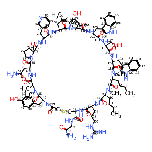 CCCC[C@H]1C(=O)N(C)[C@@H](CCCC)C(=O)N[C@@H](CCCNC(=N)N)C(=O)N[C@H](C(=O)NCC(N)=O)CSCC(=O)N[C@@H](Cc2ccc(O)cc2)C(=O)N(C)[C@@H](C)C(=O)N[C@@H](CC(N)=O)C(=O)N2CCC[C@H]2C(=O)N[C@@H](Cc2cccnc2)C(=O)N[C@@H](CC(C)C)C(=O)N2C[C@H](O)C[C@H]2C(=O)N[C@@H](Cc2c[nH]c3ccccc23)C(=O)N[C@@H](CO)C(=O)N[C@@H](Cc2c[nH]c3ccccc23)C(=O)N1C